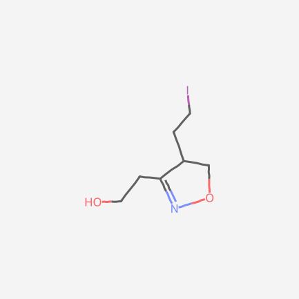 OCCC1=NOCC1CCI